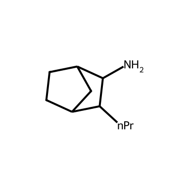 CCCC1C2CCC(C2)C1N